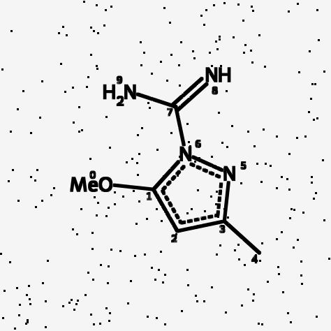 COc1cc(C)nn1C(=N)N